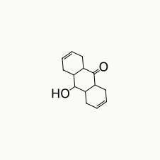 O=C1C2CC=CCC2C(O)C2CC=CCC12